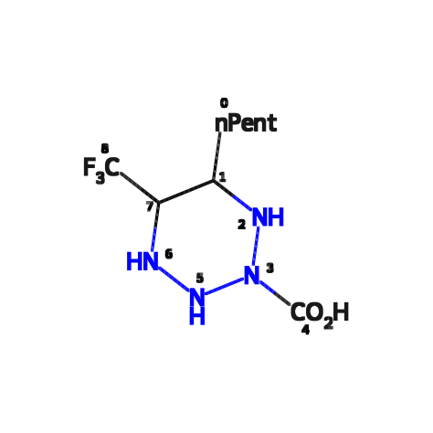 CCCCCC1NN(C(=O)O)NNC1C(F)(F)F